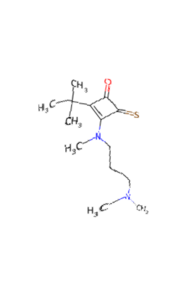 CN(C)CCCN(C)c1c(C(C)(C)C)c(=O)c1=S